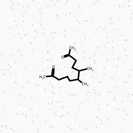 CC(=O)CCCC(C)C(C)CCC(C)=O